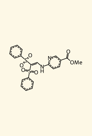 COC(=O)c1ccc(NC=C(S(=O)(=O)c2ccccc2)S(=O)(=O)c2ccccc2)nc1